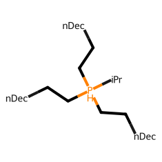 CCCCCCCCCCCC[PH](CCCCCCCCCCCC)(CCCCCCCCCCCC)C(C)C